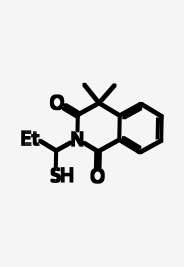 CCC(S)N1C(=O)c2ccccc2C(C)(C)C1=O